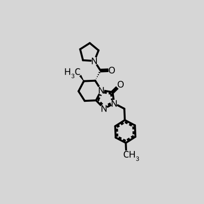 Cc1ccc(Cn2nc3n(c2=O)[C@@H](C(=O)N2CCCC2)[C@H](C)CC3)cc1